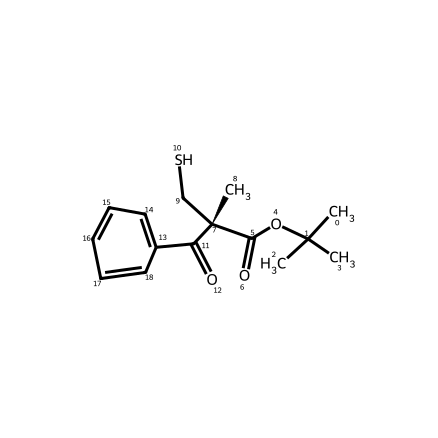 CC(C)(C)OC(=O)[C@@](C)(CS)C(=O)c1ccccc1